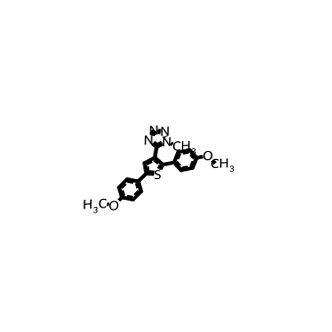 COc1ccc(-c2cc(-c3nnnn3C)c(-c3ccc(OC)cc3)s2)cc1